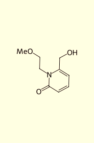 COCCn1c(CO)cccc1=O